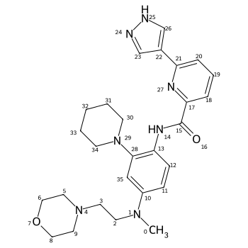 CN(CCN1CCOCC1)c1ccc(NC(=O)c2cccc(-c3cn[nH]c3)n2)c(N2CCCCC2)c1